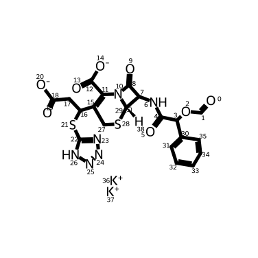 O=COC(C(=O)NC1C(=O)N2C(C(=O)[O-])=C(C(CC(=O)[O-])Sc3nnn[nH]3)CS[C@@H]12)c1ccccc1.[K+].[K+]